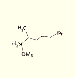 CO[SiH2]C(C)CCCC(C)C